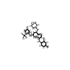 Cc1cc(Nc2cc(CN3CCOCC3)c3ncc(Cc4ccc(F)cc4F)n3n2)n(C(C)(C)C)n1